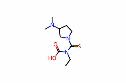 CCN(C(=O)O)C(=S)N1CCC(N(C)C)C1